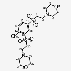 O=S(=O)(CCN1CCOCC1)c1ccc(Cl)c(S(=O)(=O)CCN2CCOCC2)c1